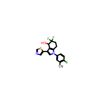 N#Cc1cc(-n2cc(-c3cncs3)c3c2CCC(F)(F)C3O)ccc1F